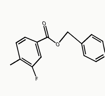 Cc1ccc(C(=O)OCc2ccccc2)cc1F